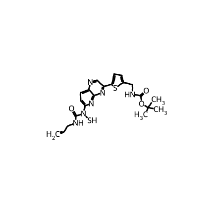 C=CCNC(=O)N(S)c1ccc2ncc(-c3ccc(CNC(=O)OC(C)(C)C)s3)nc2n1